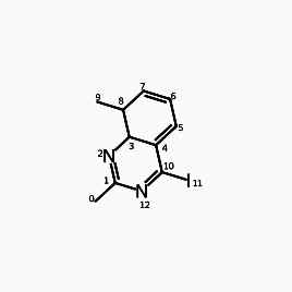 CC1=NC2C(=CC=CC2C)C(I)=N1